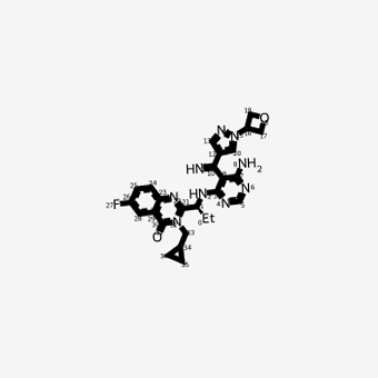 CC[C@H](Nc1ncnc(N)c1C(=N)c1cnn(C2COC2)c1)c1nc2ccc(F)cc2c(=O)n1CC1CC1